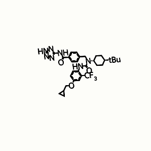 CC(C)(C)[C@H]1CC[C@H](N(Cc2ccc(C(=O)Nc3nn[nH]n3)cc2)C(=O)Nc2ccc(OCC3CC3)cc2C(F)(F)F)CC1